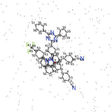 N#Cc1ccc(-c2ccc3c(c2)c2ccccc2n3-c2ccc(-c3nc(-c4ccccc4)nc(-c4ccccc4)n3)cc2-c2cc(C(F)(F)F)ccc2-n2c3ccccc3c3cc(-c4ccc(C#N)cc4)ccc32)cc1